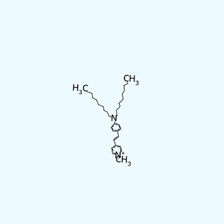 CCCCCCCCCCN(CCCCCCCCCC)c1ccc(C=Cc2cc[n+](C)cc2)cc1